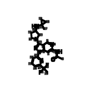 CC(=O)Nc1cc2c(cn1)c(N1CCC(NC3(C)CC3)C1)nn2-c1cccc(C(C)(F)F)n1